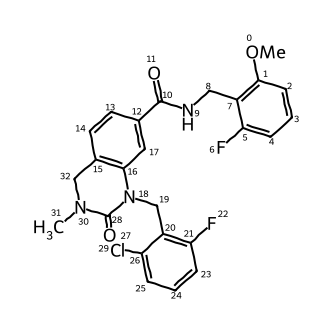 COc1cccc(F)c1CNC(=O)c1ccc2c(c1)N(Cc1c(F)cccc1Cl)C(=O)N(C)C2